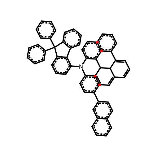 C1=CC2=CC=CC(c3ccccc3N(c3ccc(-c4ccc5ccccc5c4)cc3)c3cccc4c3-c3ccccc3C4(c3ccccc3)c3ccccc3)C2C(c2ccccc2)=C1